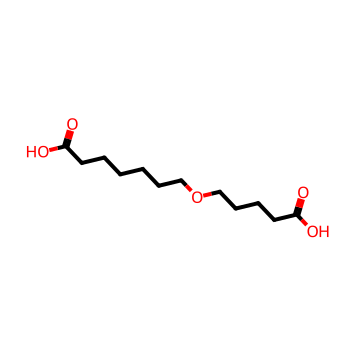 O=C(O)CCCCCCOCCCCC(=O)O